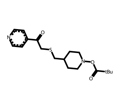 CC(C)(C)C(=O)ON1CCC(CSCC(=O)c2ccncc2)CC1